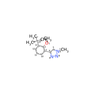 COc1c(-c2cn(C)nn2)cccc1C(C)(C)C